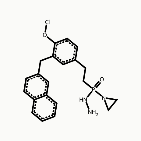 NNP(=O)(CCc1ccc(OCl)c(Cc2ccc3ccccc3c2)c1)N1CC1